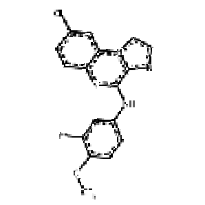 Fc1cc(Nc2nc3ccc(Cl)cc3n3ccnc23)ccc1OC(F)(F)F